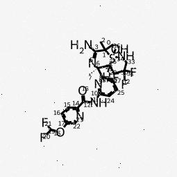 CC1(C)C(N)=N[C@](C)(c2nc(NC(=O)c3ccc(OC(F)F)cn3)ccc2F)[C@H]2CC(F)(F)CNS21O